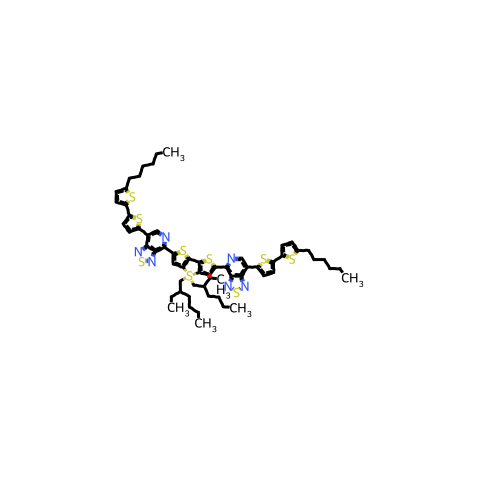 CCCCCCc1ccc(-c2ccc(-c3cnc(-c4cc5c(s4)-c4sc(-c6ncc(-c7ccc(-c8ccc(CCCCCC)s8)s7)c7nsnc67)cc4S5(CC(CC)CCCC)CC(CC)CCCC)c4nsnc34)s2)s1